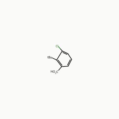 CC(C)(C)c1c(Cl)cccc1C(=O)O